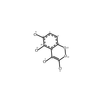 ClC1=C(Cl)c2c(ccc(Cl)c2Cl)OO1